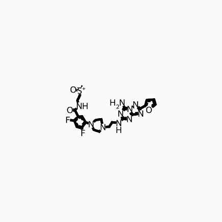 C[S@+]([O-])CCNC(=O)c1cc(N2CCN(CCNc3nc(N)n4nc(-c5ccco5)nc4n3)CC2)c(F)cc1F